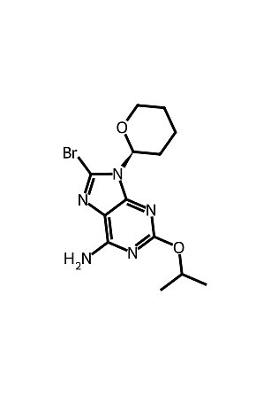 CC(C)Oc1nc(N)c2nc(Br)n([C@@H]3CCCCO3)c2n1